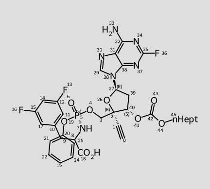 C#C[C@]1(CO[P@@](=O)(NC(Cc2cc(F)cc(F)c2)C(=O)O)Oc2ccccc2)O[C@@H](n2cnc3c(N)nc(F)nc32)C[C@@H]1OC(=O)OCCCCCCC